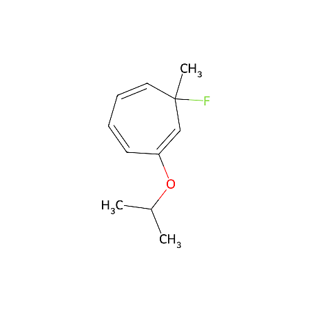 CC(C)OC1=CC(C)(F)C=CC=C1